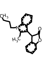 CCCCn1c(C)c(C2C(=O)Oc3ccccc32)c2ccccc21